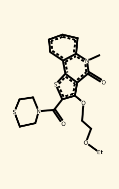 CCOCCOc1c(C(=O)N2CCSCC2)sc2c1c(=O)n(C)c1ccccc21